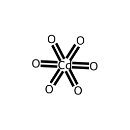 [O]=[Cd](=[O])(=[O])(=[O])(=[O])=[O]